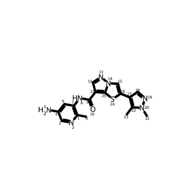 Cc1ncc(N)cc1NC(=O)c1cnn2cc(-c3cnn(C)c3C)sc12